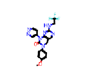 COc1ccc(N2Cc3cnc(NCC(F)(F)F)nc3N(c3ccnnc3)C2=O)cc1